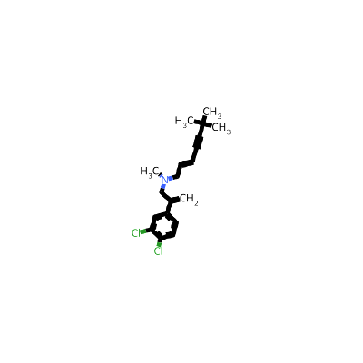 C=C(CN(C)C/C=C/C#CC(C)(C)C)c1ccc(Cl)c(Cl)c1